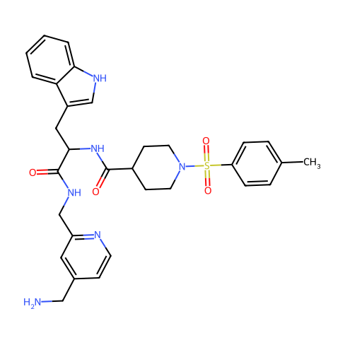 Cc1ccc(S(=O)(=O)N2CCC(C(=O)NC(Cc3c[nH]c4ccccc34)C(=O)NCc3cc(CN)ccn3)CC2)cc1